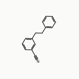 N#Cc1cccc(CCc2c[c]ccc2)c1